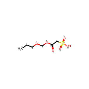 CCCOCOC(=O)CS(=O)(=O)O